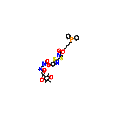 CC1=C(C)C(=O)C(C(C)(C)CC(=O)N(C)CCN(C)C(=O)Oc2ccc3nc(C4=N[C@@H](C(=O)OCCCCCCP(c5ccccc5)c5ccccc5)CS4)sc3c2)=C(C)C1=O